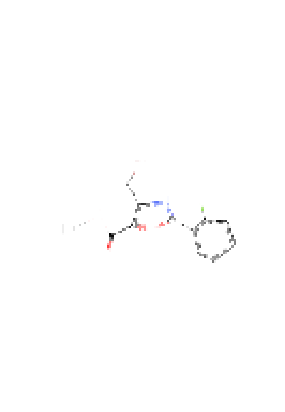 COC(=O)c1oc(-c2ccccc2F)nc1CBr